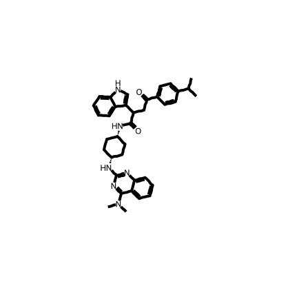 CC(C)c1ccc(C(=O)CC(C(=O)N[C@H]2CC[C@@H](Nc3nc(N(C)C)c4ccccc4n3)CC2)c2c[nH]c3ccccc23)cc1